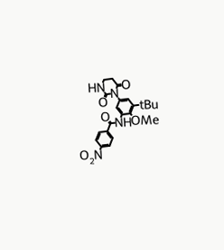 COc1c(NC(=O)c2ccc([N+](=O)[O-])cc2)cc(N2C(=O)CCNC2=O)cc1C(C)(C)C